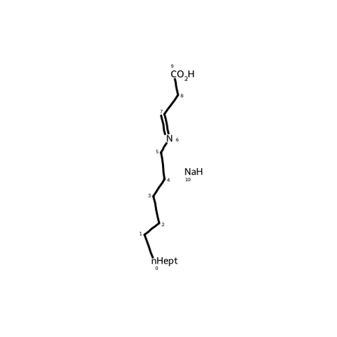 CCCCCCCCCCCCN=CCC(=O)O.[NaH]